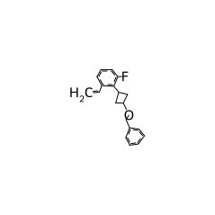 C=Cc1cccc(F)c1C1CC(OCc2ccccc2)C1